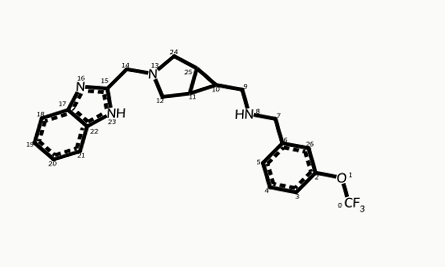 FC(F)(F)Oc1cccc(CNCC2C3CN(Cc4nc5ccccc5[nH]4)CC23)c1